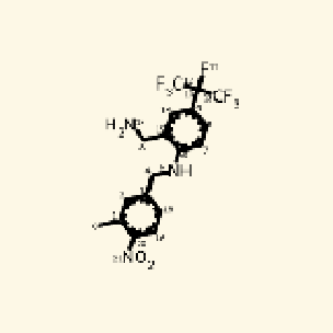 Cc1cc(CNc2ccc(C(F)(C(F)(F)F)C(F)(F)F)cc2CN)ccc1[N+](=O)[O-]